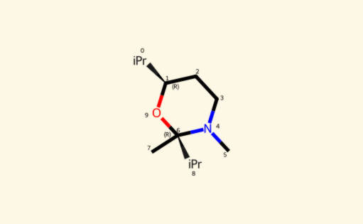 CC(C)[C@H]1CCN(C)[C@@](C)(C(C)C)O1